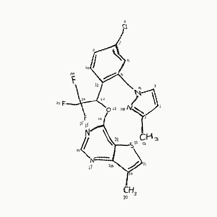 Cc1ccn(-c2cc(Cl)ccc2C(Oc2ncnc3c(C)csc23)C(F)(F)F)n1